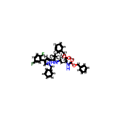 CC(C)(C)[C@@H](NCC[C@H](NC(=O)OCc1ccccc1)C(=O)OCc1ccccc1)c1cc(-c2cc(F)ccc2F)cn1Cc1ccccc1